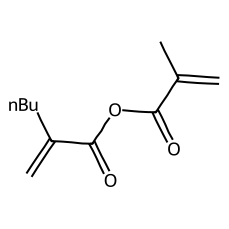 C=C(C)C(=O)OC(=O)C(=C)CCCC